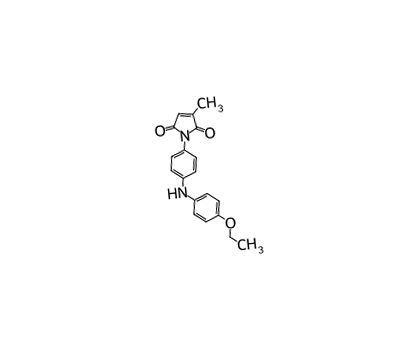 CCOc1ccc(Nc2ccc(N3C(=O)C=C(C)C3=O)cc2)cc1